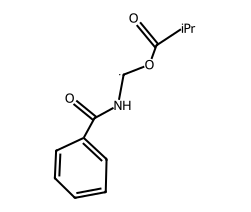 CC(C)C(=O)O[CH]NC(=O)c1ccccc1